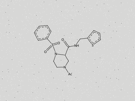 CC(=O)N1CCN(S(=O)(=O)c2ccccc2)C(C(=O)NCc2cccs2)C1